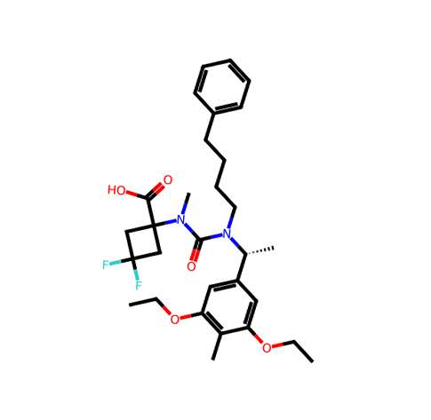 CCOc1cc([C@@H](C)N(CCCCc2ccccc2)C(=O)N(C)C2(C(=O)O)CC(F)(F)C2)cc(OCC)c1C